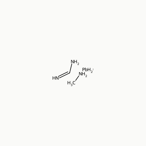 CN.N=CN.[PbH2]